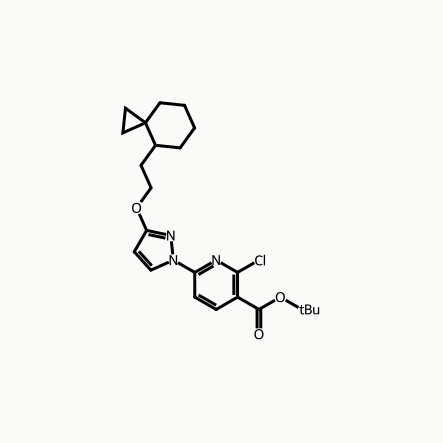 CC(C)(C)OC(=O)c1ccc(-n2ccc(OCCC3CCCCC34CC4)n2)nc1Cl